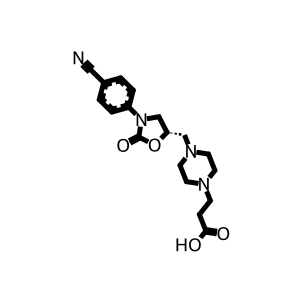 N#Cc1ccc(N2C[C@H](CN3CCN(CCC(=O)O)CC3)OC2=O)cc1